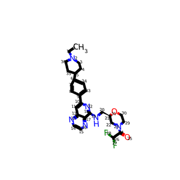 CCN1CCC(c2ccc(-c3cc4nccnc4c(NC[C@@H]4CN(C(=O)C(F)F)CCO4)n3)cc2)CC1